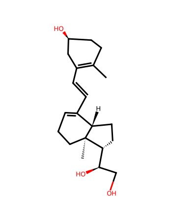 CC1=C(/C=C/C2=CCC[C@]3(C)[C@@H]([C@H](O)CO)CC[C@@H]23)C[C@@H](O)CC1